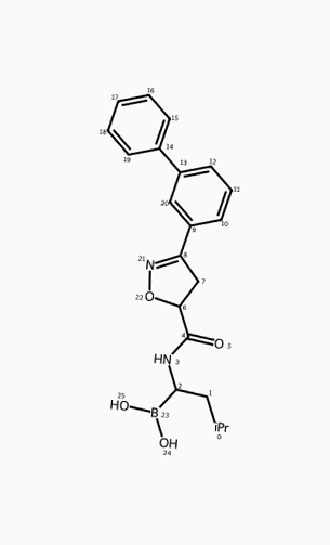 CC(C)CC(NC(=O)C1CC(c2cccc(-c3ccccc3)c2)=NO1)B(O)O